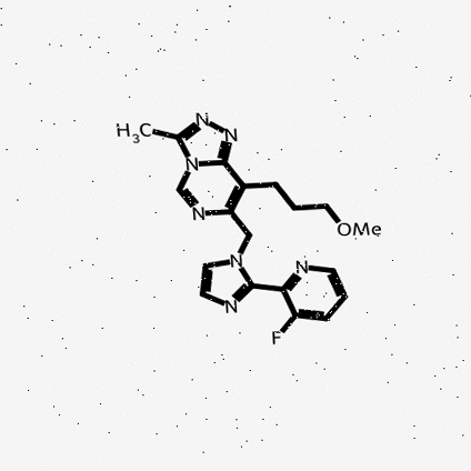 COCCCc1c(Cn2ccnc2-c2ncccc2F)ncn2c(C)nnc12